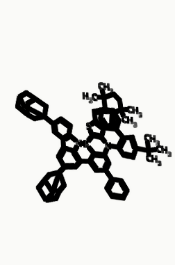 CC(C)(C)c1ccc(N2c3cc(-c4ccccc4)cc4c3B(c3sc5cc6c(cc5c32)C(C)(C)CCC6(C)C)n2c3ccc(C56CC7CC(CC(C7)C5)C6)cc3c3cc(C56CC7CC(CC(C7)C5)C6)cc-4c32)c(-c2ccccc2)c1